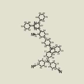 N#Cc1ccc(N(c2ccc(C#N)cc2)c2ccc3c(c2)c2ccccc2n3-c2ccc(-c3ccc(-c4cc(-c5ccccc5)nc(-c5ccccc5)n4)c(C#N)c3)cc2)cc1